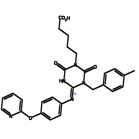 Cc1ccc(Cn2c(=O)n(CCCCC(=O)O)c(=O)[nH]/c2=N\c2ccc(Oc3ccccn3)cc2)cc1